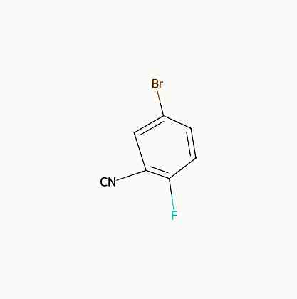 [C-]#[N+]c1cc(Br)ccc1F